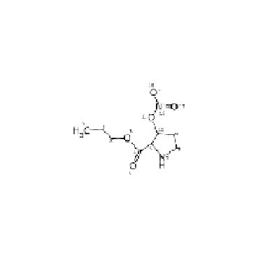 CCCOC(=O)C1NCCC1O[N+](=O)[O-]